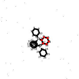 C1CCC(P(C2CCCCC2)[C]23[CH]4[CH]5[CH]6[C]2(P(C2CCCCC2)C2CCCCC2)[Fe]54632789[CH]3[CH]2[CH]7[CH]8[CH]39)CC1